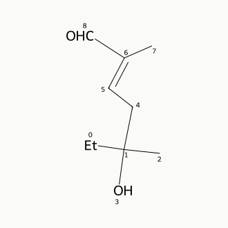 CCC(C)(O)C/C=C(\C)C=O